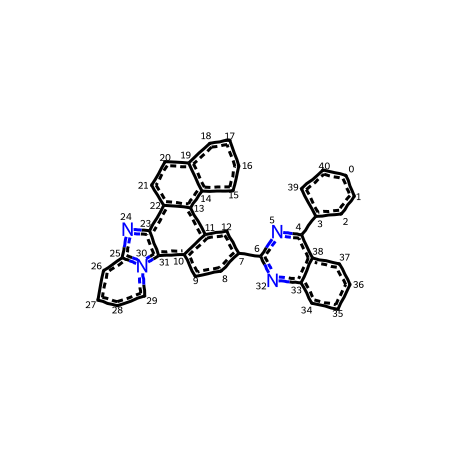 c1ccc(-c2nc(-c3ccc4c(c3)c3c5ccccc5ccc3c3nc5ccccn5c43)nc3ccccc23)cc1